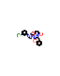 O=C(C(Cc1ccccc1)N1C(=O)CCC1=O)N1CCN(c2cccc(Cl)c2)CC1